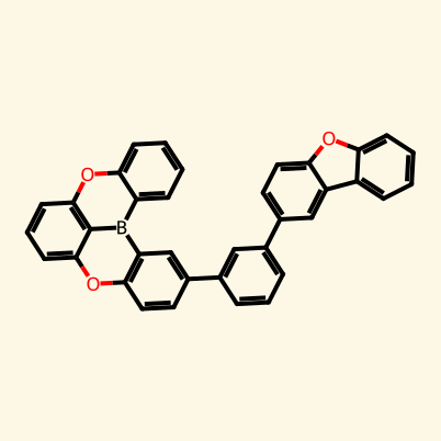 c1cc(-c2ccc3c(c2)B2c4ccccc4Oc4cccc(c42)O3)cc(-c2ccc3oc4ccccc4c3c2)c1